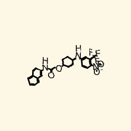 O=C(COC1CCC(Nc2ccc([N+](=O)[O-])c(C(F)(F)F)c2)CC1)Nc1ccc2ccccc2c1